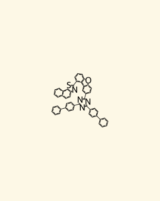 c1ccc(-c2ccc(-c3nc(-c4ccc(-c5ccccc5)cc4)nc(-c4ccc5oc6cccc(-c7nc8ccc9ccccc9c8s7)c6c5c4)n3)cc2)cc1